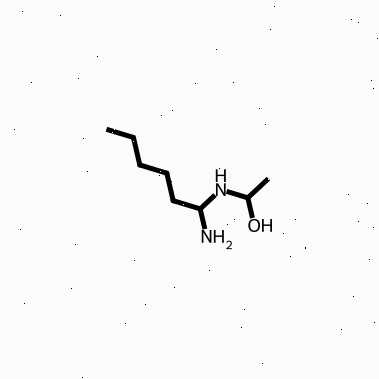 CCCCCC(N)NC(C)O